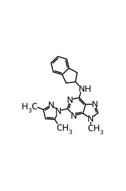 Cc1cc(C)n(-c2nc(NC3Cc4ccccc4C3)c3ncn(C)c3n2)n1